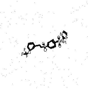 O=S(=O)(CCc1cccc(OC(F)(F)F)c1)c1ccc(S(=O)(=O)Nc2nccs2)cc1